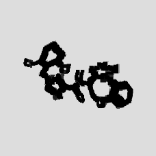 O=C(N[C@H]1COc2ccccc2-n2nnnc21)c1ncn(Cc2c(Cl)cccc2Cl)n1